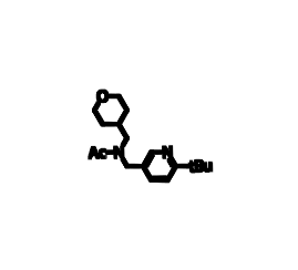 CC(=O)N(Cc1ccc(C(C)(C)C)nc1)CC1CCOCC1